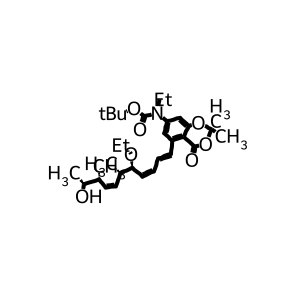 CCO[C@@H](/C=C\C=C\c1cc(N(CC)C(=O)OC(C)(C)C)cc2c1C(=O)OC(C)(C)O2)[C@@H](C)/C=C\[C@@H](C)[C@H](C)O